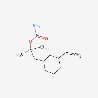 C=CC1CCCC(CC(C)(C)OC(N)=O)C1